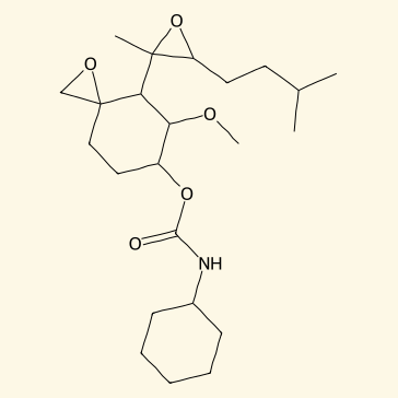 COC1C(OC(=O)NC2CCCCC2)CCC2(CO2)C1C1(C)OC1CCC(C)C